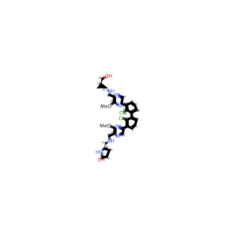 COc1nc(-c2cccc(-c3cccc(-c4cnc(CN[C@@H]5C[C@H]5CO)c(OC)n4)c3Cl)c2Cl)cnc1CNC[C@@H]1CCC(=O)N1